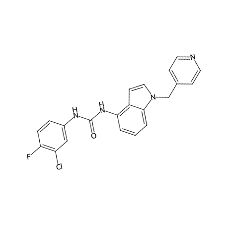 O=C(Nc1ccc(F)c(Cl)c1)Nc1cccc2c1ccn2Cc1ccncc1